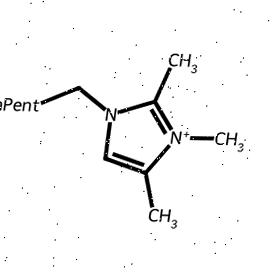 CCCCCCn1cc(C)[n+](C)c1C